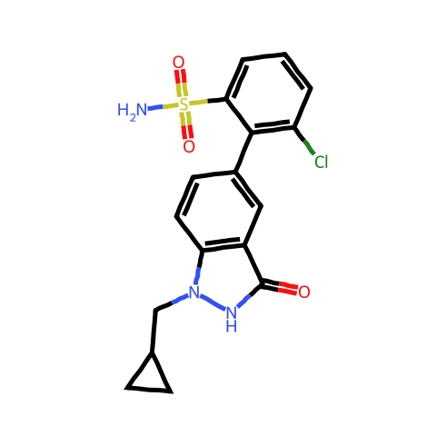 NS(=O)(=O)c1cccc(Cl)c1-c1ccc2c(c1)c(=O)[nH]n2CC1CC1